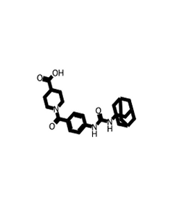 O=C(Nc1ccc(C(=O)N2CCC(C(=O)O)CC2)cc1)NC12CC3CC(CC(C3)C1)C2